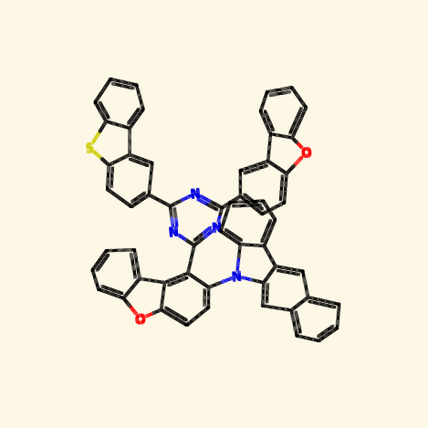 c1ccc2cc3c(cc2c1)c1ccccc1n3-c1ccc2oc3ccccc3c2c1-c1nc(-c2ccc3oc4ccccc4c3c2)nc(-c2ccc3sc4ccccc4c3c2)n1